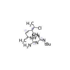 C=C(/C=C\C(C)=C(/C)Cl)N/C(N)=N\C(N)=N/C(C)(C)C